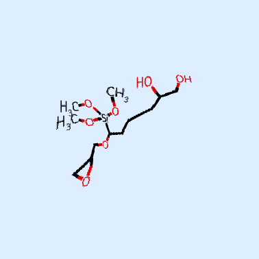 CO[Si](OC)(OC)C(CCCC(O)CO)OCC1CO1